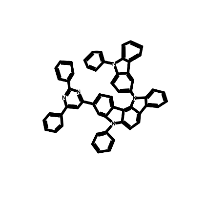 c1ccc(-c2cc(-c3ccc4c5c(ccc6c7ccccc7n(-c7ccc8c(c7)c7ccccc7n8-c7ccccc7)c65)n(-c5ccccc5)c4c3)nc(-c3ccccc3)n2)cc1